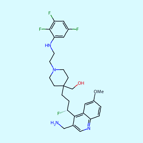 COc1ccc2ncc(CN)c([C@H](F)CCC3(CO)CCN(CCNc4cc(F)cc(F)c4F)CC3)c2c1